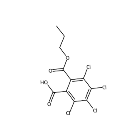 CCCOC(=O)c1c(Cl)c(Cl)c(Cl)c(Cl)c1C(=O)O